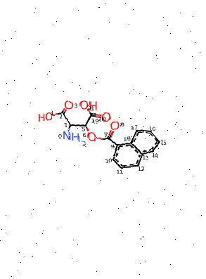 NC(C(=O)O)[C@H](OC(=O)c1cccc2ccccc12)C(=O)O